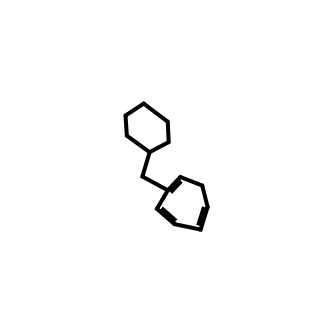 C1=CCC=C(CC2CCCCC2)C=C1